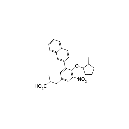 CC(Cc1cc(-c2ccc3ccccc3c2)c(OC2CCCC2C)c([N+](=O)[O-])c1)C(=O)O